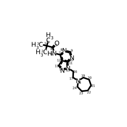 CC(C)(C)C(=O)Nc1ncnc2c1cnn2CCN1CCCCCC1